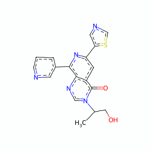 CC(CO)n1cnc2c(-c3cccnc3)nc(-c3cncs3)cc2c1=O